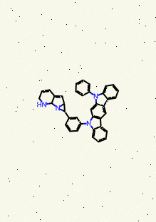 C1=CC2=CC3C(c4cccc(-n5c6ccccc6c6cc7c8ccccc8n(-c8ccccc8)c7cc65)c4)N3C2NC1